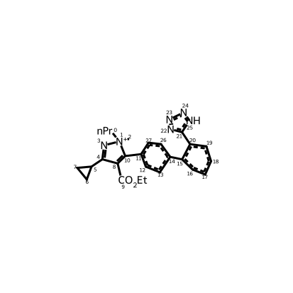 CCC[N+]1(C)N=C(C2CC2)C(C(=O)OCC)=C1c1ccc(-c2ccccc2-c2nnn[nH]2)cc1